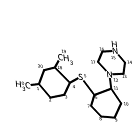 CC1CCC(SC2CCCCC2N2CCNCC2)C(C)C1